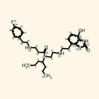 CCCC(CCC)N(CCNCCc1ccc(O)c2[nH]c(=O)sc12)C(=O)CCNCCc1ccc(F)cc1